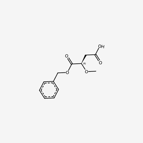 CO[C@H](CC(=O)O)C(=O)OCc1ccccc1